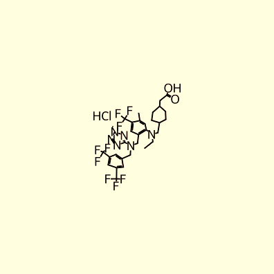 CCN(CC1CCC(CC(=O)O)CC1)c1cc(C)c(C(F)(F)F)cc1CN(Cc1cc(C(F)(F)F)cc(C(F)(F)F)c1)c1nnn(C)n1.Cl